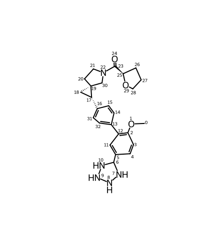 COc1ccc(C2NNNN2)cc1-c1ccc([C@@H]2C[C@@]23CCN(C(=O)[C@H]2CCCO2)C3)cc1